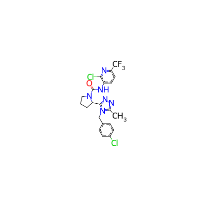 Cc1nnc(C2CCCN2C(=O)Nc2ccc(C(F)(F)F)nc2Cl)n1Cc1ccc(Cl)cc1